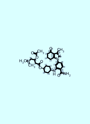 CC(=O)OC(CC(=O)O[C@H]1CC[C@@H](Nc2cc(-n3nc(C)c4c3CCCC4=O)ccc2C(N)=O)CC1)CN(C)C